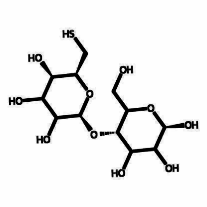 OCC1O[C@@H](O)C(O)C(O)[C@@H]1O[C@@H]1O[C@H](CS)[C@H](O)C(O)C1O